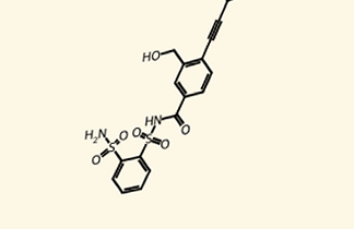 NS(=O)(=O)c1ccccc1S(=O)(=O)NC(=O)c1ccc(C#CC2CCCC2)c(CO)c1